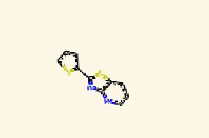 c1csc(-c2nc3ncccc3s2)c1